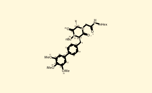 CCCCCCNC(=O)CN1C(=O)[C@@H](Cc2ccc(-c3cc(OC)c(OC)c(OC)c3)cc2)N(CCCC)C(=O)[C@@H]1C